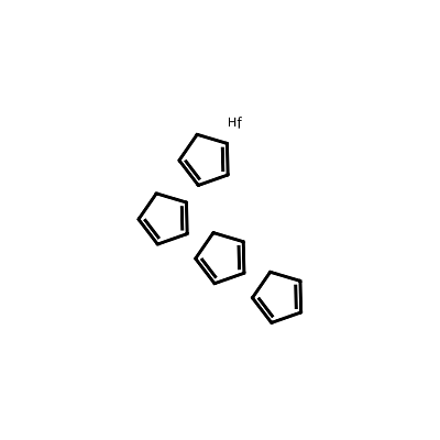 C1=CCC=C1.C1=CCC=C1.C1=CCC=C1.C1=CCC=C1.[Hf]